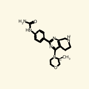 C[C@H]1COCCN1c1nc(-c2ccc(NC(N)=O)cc2)nc2c1CCNC2